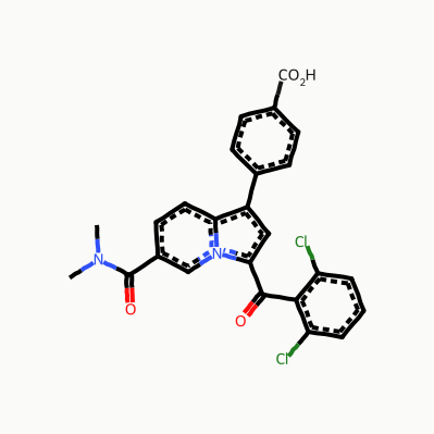 CN(C)C(=O)c1ccc2c(-c3ccc(C(=O)O)cc3)cc(C(=O)c3c(Cl)cccc3Cl)n2c1